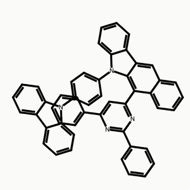 c1ccc(-c2cc(-c3c4ccccc4cc4c5ccccc5n(-c5ccc(-n6c7ccccc7c7ccccc76)cc5)c34)nc(-c3ccccc3)n2)cc1